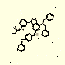 C=CC(=O)Nc1cccc(-n2cnc3c(N(Cc4ccccc4)Cc4ccccc4)nc(Nc4ccc(Oc5cccnc5)cc4)nc32)c1